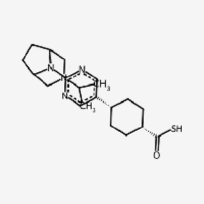 CC(C)N1CC2CCC(C1)N2c1ncc([C@H]2CC[C@@H](C(=O)S)CC2)cn1